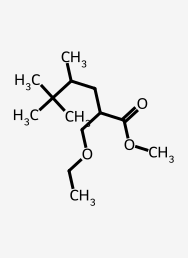 CCOCC(CC(C)C(C)(C)C)C(=O)OC